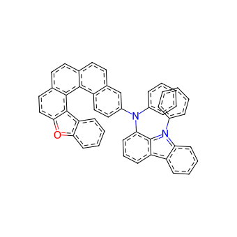 c1ccc(N(c2ccc3c(ccc4ccc5ccc6oc7ccccc7c6c5c43)c2)c2cccc3c4ccccc4n(-c4ccccc4)c23)cc1